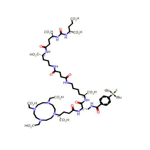 CC(C)(C)[Si](F)(c1ccc(C(=O)NC[C@H](NC(=O)CC[C@H](C(=O)O)N2CCN(CC(=O)O)CCN(CC(=O)O)CCN(CC(=O)O)CC2)C(=O)N[C@@H](CCCCNC(=O)CCC(=O)NCCC[C@@H](NC(=O)CC[C@H](NC(=O)N[C@@H](CCC(=O)O)C(=O)O)C(=O)O)C(=O)O)C(=O)O)cc1)C(C)(C)C